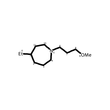 CCC1CCCN(CCCOC)CC1